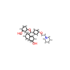 O=C(c1ccc(OCCN2CCCCC2)cc1)c1c(-c2ccccc2O)ccc2cc(O)ccc12